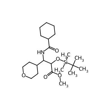 COC(=O)C(O[Si](C)(C)C(C)(C)C)C(NC(=O)C1CCCCC1)C1CCOCC1